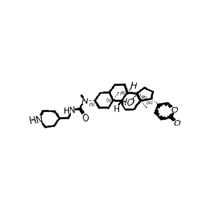 CN(C(=O)NCC1CCNCC1)[C@H]1CC[C@@]2(C)C(CC[C@@H]3[C@@H]2CC[C@]2(C)[C@@H](c4ccc(=O)oc4)CC[C@]32O)C1